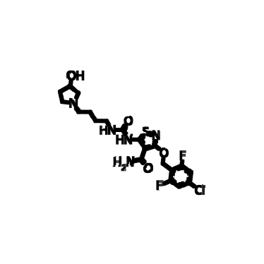 NC(=O)c1c(OCc2c(F)cc(Cl)cc2F)nsc1NC(=O)NCCCCN1CCC(O)C1